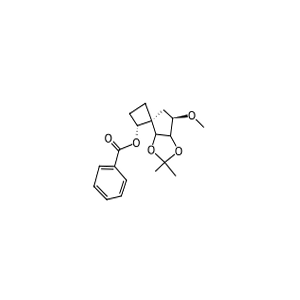 CO[C@@H]1C[C@]2(CC[C@H]2OC(=O)c2ccccc2)C2OC(C)(C)OC21